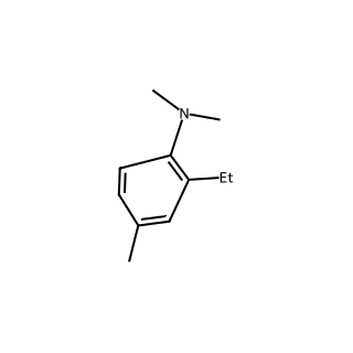 CCc1cc(C)ccc1N(C)C